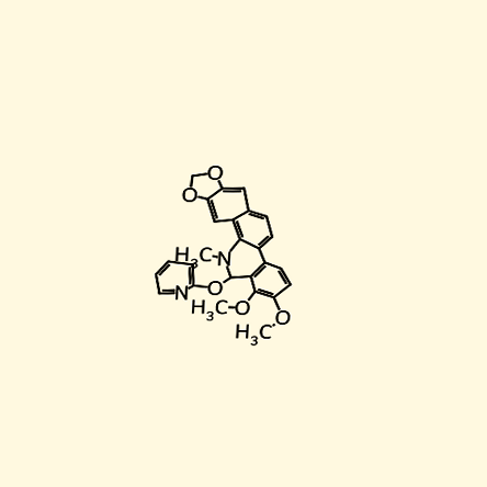 COc1ccc2c(c1OC)C(Oc1ccccn1)N(C)c1c-2ccc2cc3c(cc12)OCO3